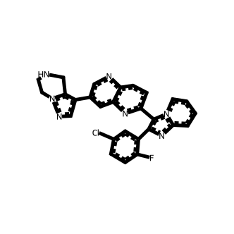 Fc1ccc(Cl)cc1-c1nc2ccccn2c1-c1ccc2ncc(-c3cnn4c3CNCC4)cc2n1